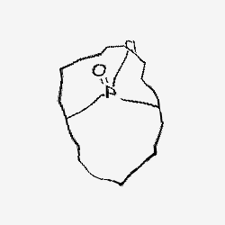 O=P1(Cl)C2CCCC1CCC2